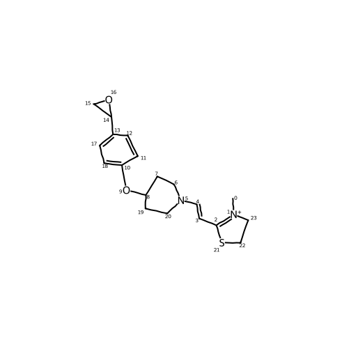 C[N+]1=C(C=CN2CCC(Oc3ccc(C4CO4)cc3)CC2)SCC1